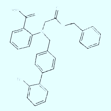 CCCCC(=O)c1ccccc1N(CC(=O)OCc1ccccc1)Cc1ccc(-c2ccccc2C#N)cc1